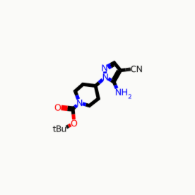 CC(C)(C)OC(=O)N1CCC(n2ncc(C#N)c2N)CC1